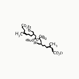 CCOC(=O)CCC(C)=CCCC(CBr)CC(OCC(C)C)OC(CC(CBr)CCC=C(C)CCC(=O)OCC)OCC(C)C